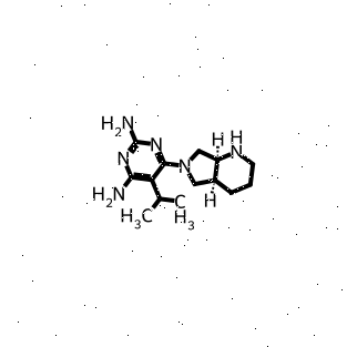 CC(C)c1c(N)nc(N)nc1N1C[C@@H]2CCCN[C@@H]2C1